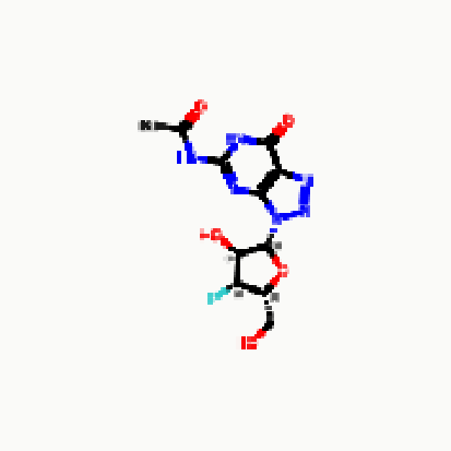 CCC(C)C(=O)Nc1nc2c(nnn2[C@@H]2O[C@H](CO)[C@@H](F)[C@H]2O)c(=O)[nH]1